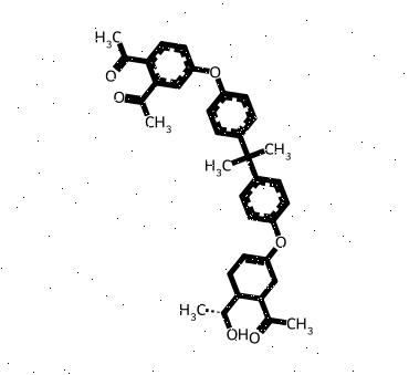 CC(=O)c1ccc(Oc2ccc(C(C)(C)c3ccc(OC4=CCC([C@@H](C)O)C(C(C)=O)C4)cc3)cc2)cc1C(C)=O